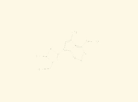 CONc1ncnc2c1c(C#N)cn2C1OC(CO)C(O)[C@@]1(C)O